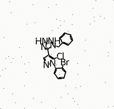 Clc1c(C2=NNNN2Cc2ccccc2)cnn1-c1ccccc1Br